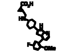 COc1ccc(F)cc1-c1ccnc2[nH]c(C3CCC(NCC4CC4C(=O)O)CC3)cc12